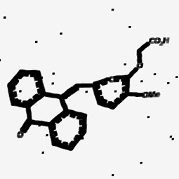 COc1ccc(C=C2c3ccccc3C(=O)c3ccccc32)cc1OCC(=O)O